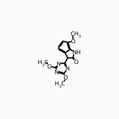 COc1nc(OC)nc(C2C(=O)Nc3c(OC)cccc32)n1